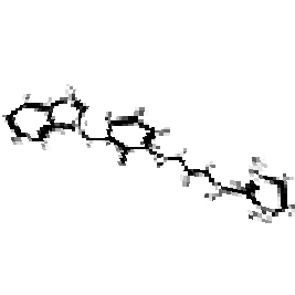 Cc1c(Cn2cnc3ccccc32)cccc1OCCCSc1nccs1